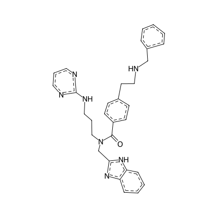 O=C(c1ccc(CCNCc2ccccc2)cc1)N(CCCNc1ncccn1)Cc1nc2ccccc2[nH]1